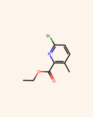 CCOC(=O)c1nc(Br)ccc1C